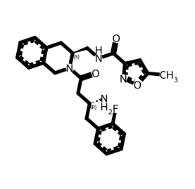 Cc1cc(C(=O)NC[C@@H]2Cc3ccccc3CN2C(=O)C[C@H](N)Cc2ccccc2F)no1